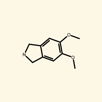 COc1cc2c(cc1OC)C[N]C2